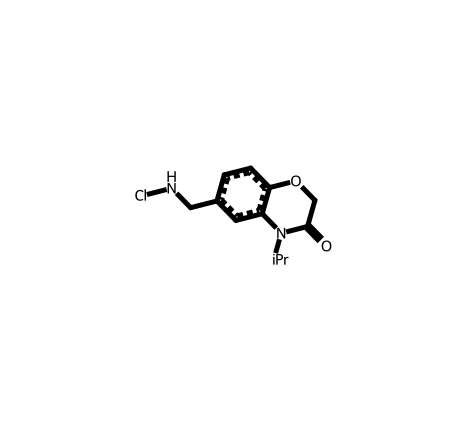 CC(C)N1C(=O)COc2ccc(CNCl)cc21